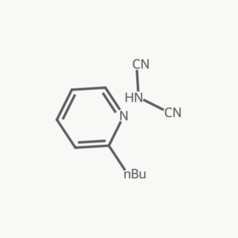 CCCCc1ccccn1.N#CNC#N